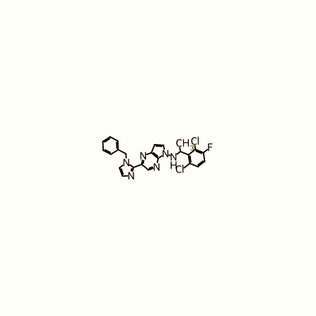 CC(Nn1ccc2nc(-c3nccn3Cc3ccccc3)cnc21)c1c(Cl)ccc(F)c1Cl